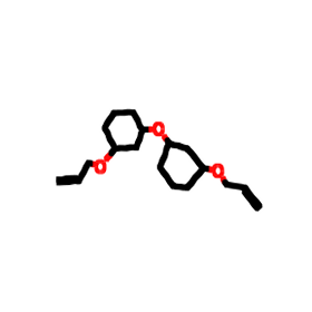 C=CCOC1CCCC(OC2CCCC(OCC=C)C2)C1